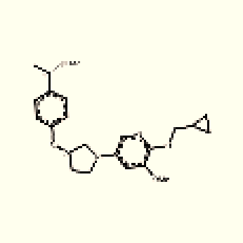 COc1cc(N2CC[C@@H](Oc3ccc([C@H](C)NC(C)=O)cc3)C2)cnc1OCC1CC1